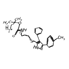 Cc1ccc(-c2n[nH]c(SCCNC(=O)OC(C)(C)C)c2-c2ccccc2)cc1